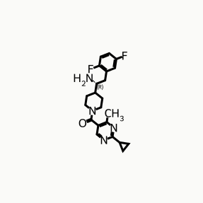 Cc1nc(C2CC2)ncc1C(=O)N1CCC([C@H](N)Cc2cc(F)ccc2F)CC1